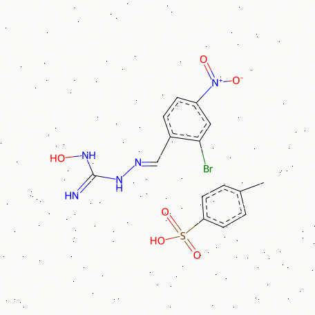 Cc1ccc(S(=O)(=O)O)cc1.N=C(NO)NN=Cc1ccc([N+](=O)[O-])cc1Br